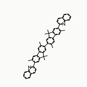 Cc1cc2c(cc1-c1ccc3ccccc3n1)C(C)(C)c1cc(-c3cc4c(cc3C)-c3cc(C)c(-c5ccc6ccccc6n5)cc3C4(C)C)c(C)cc1-2